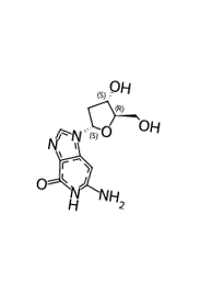 Nc1cc2c(ncn2[C@@H]2C[C@H](O)[C@@H](CO)O2)c(=O)[nH]1